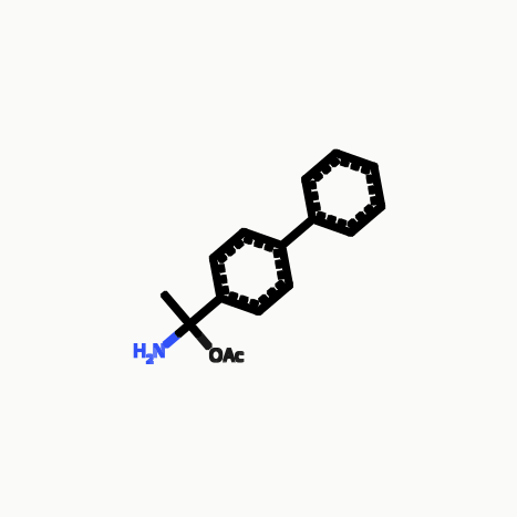 CC(=O)OC(C)(N)c1ccc(-c2ccccc2)cc1